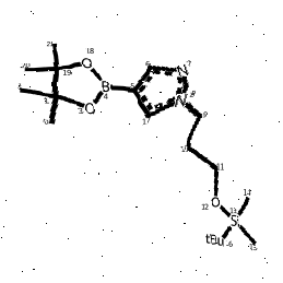 CC1(C)OB(c2cnn(CCCO[Si](C)(C)C(C)(C)C)c2)OC1(C)C